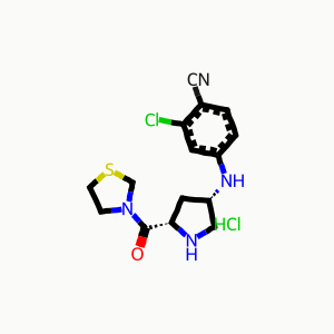 Cl.N#Cc1ccc(N[C@@H]2CN[C@H](C(=O)N3CCSC3)C2)cc1Cl